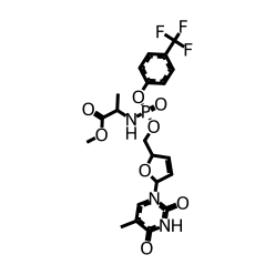 COC(=O)C(C)NP(=O)(OCC1C=CC(n2cc(C)c(=O)[nH]c2=O)O1)Oc1ccc(C(F)(F)F)cc1